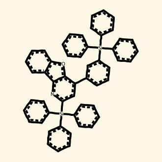 c1ccc([Si](c2ccccc2)(c2ccccc2)c2cccc(-c3cc([Si](c4ccccc4)(c4ccccc4)c4ccccc4)nc4c3oc3ccccc34)c2)cc1